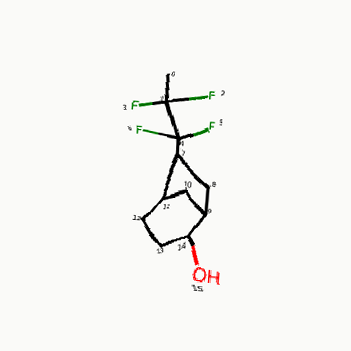 CC(F)(F)C(F)(F)C1CC2CC1CCC2O